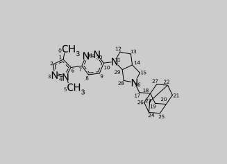 Cc1cnn(C)c1-c1ccc(N2CCC3CN(CC45CC6CC(CC(C6)C4)C5)CC32)nn1